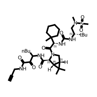 C#CCNC(=O)C(=O)C(CCCC)NC(=O)[C@@H]1[C@@H]2[C@H](CN1C(=O)[C@@H](NC(=O)N[C@H](CN(C)S(C)(=O)=O)C(C)(C)C)C1(C)CCCCC1)C2(C)C